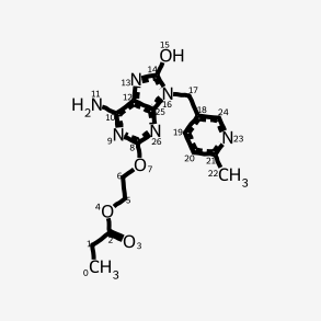 CCC(=O)OCCOc1nc(N)c2nc(O)n(Cc3ccc(C)nc3)c2n1